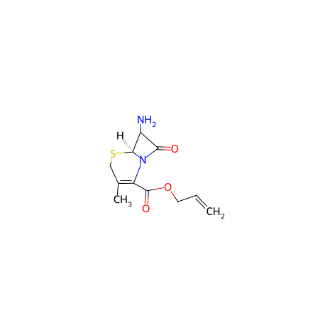 C=CCOC(=O)C1=C(C)CS[C@H]2C(N)C(=O)N12